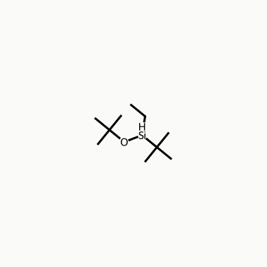 CC[SiH](OC(C)(C)C)C(C)(C)C